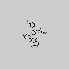 COc1cccc(-c2cc([C@H](CC(=O)[O-])NC(=O)NC3C(=O)C=CN(C)C3=O)ccc2OC(F)(F)F)c1.[Na+]